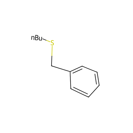 CCCCSCc1ccccc1